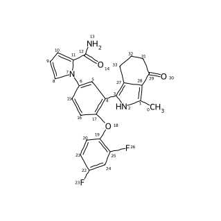 Cc1[nH]c(-c2cc(-n3cccc3C(N)=O)ccc2Oc2ccc(F)cc2F)c2c1C(=O)CCC2